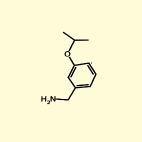 CC(C)Oc1[c]ccc(CN)c1